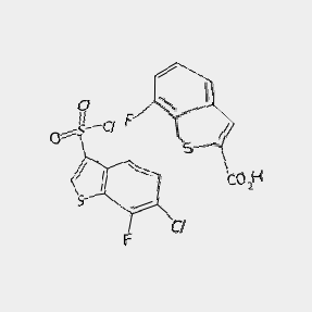 O=C(O)c1cc2cccc(F)c2s1.O=S(=O)(Cl)c1csc2c(F)c(Cl)ccc12